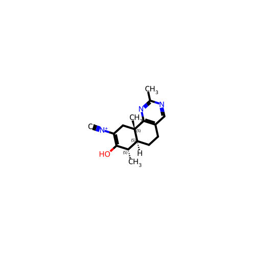 [C-]#[N+]C1=C(O)[C@@H](C)[C@@H]2CCc3cnc(C)nc3[C@@]2(C)C1